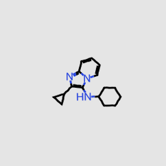 c1ccn2c(NC3CCCCC3)c(C3CC3)nc2c1